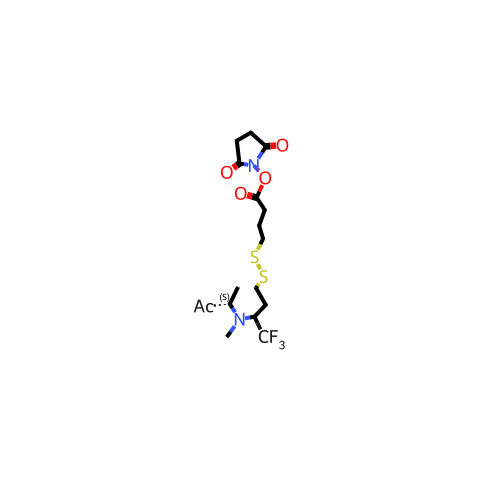 CC(=O)[C@H](C)N(C)C(CCSSCCCC(=O)ON1C(=O)CCC1=O)C(F)(F)F